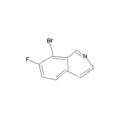 Fc1ccc2ccncc2c1Br